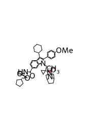 COc1ccc(-c2c(C3CCCCC3)c3ccc(C(=O)NS(=O)(=O)C4CCCC4)cc3n2CC2(C(=O)N3C4CCC3CN(C)C4)CC2)cc1